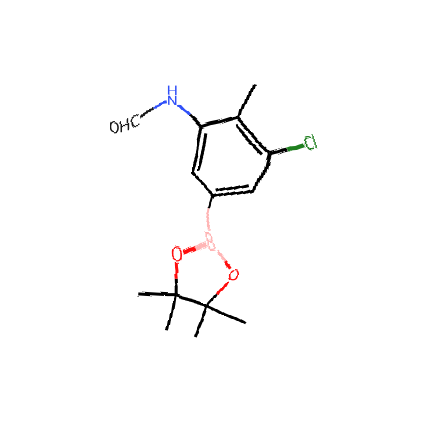 Cc1c(Cl)cc(B2OC(C)(C)C(C)(C)O2)cc1NC=O